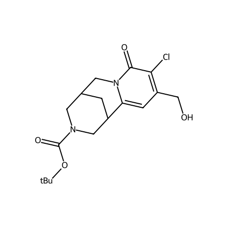 CC(C)(C)OC(=O)N1CC2CC(C1)c1cc(CO)c(Cl)c(=O)n1C2